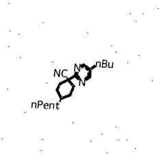 CCCCC[C@H]1CC[C@@](C#N)(c2ncc(CCCC)cn2)CC1